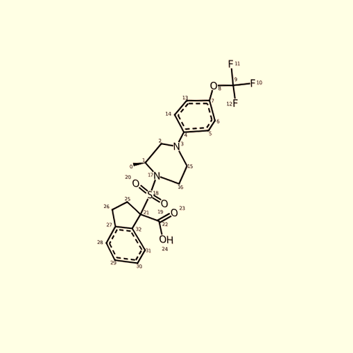 C[C@H]1CN(c2ccc(OC(F)(F)F)cc2)CCN1S(=O)(=O)C1(C(=O)O)CCc2ccccc21